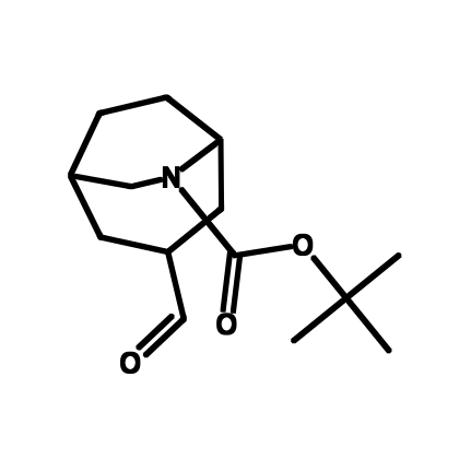 CC(C)(C)OC(=O)N1CC2CCC1CC(C=O)C2